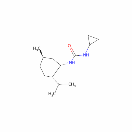 CC(C)[C@@H]1CC[C@@H](C)C[C@@H]1NC(=O)NC1CC1